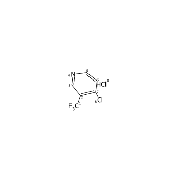 Cl.FC(F)(F)c1cnccc1Cl